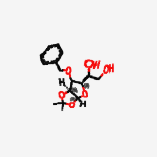 CC1(C)O[C@H]2O[C@H](C(O)CO)C(OCc3ccccc3)[C@@H]2O1